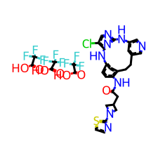 O=C(CC1CN(c2nccs2)C1)Nc1ccc2cc1CCc1cncc(c1)Nc1ncc(Cl)c(n1)N2.O=C(O)C(F)(F)F.O=C(O)C(F)(F)F.O=C(O)C(F)(F)F